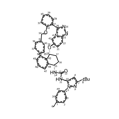 Cc1ccc(-n2nc(C(C)(C)C)cc2NC(=O)N[C@H]2CC[C@@H](Oc3ccc4nnc(-c5ccccc5OCc5ccccc5)n4c3)c3ccccc32)cc1